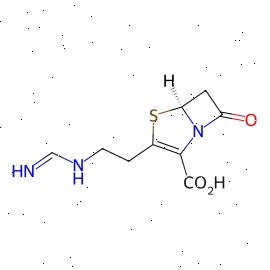 N=CNCCC1=C(C(=O)O)N2C(=O)C[C@@H]2S1